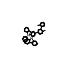 Cc1ccccc1-c1cc(-c2cc(-n3c4ccccc4c4ccccc43)c3c(c2)c2ccccc2n3-c2ccccc2)ccc1C